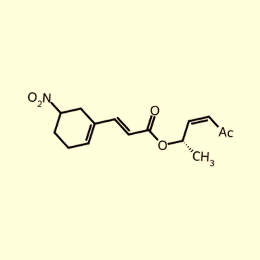 CC(=O)/C=C\[C@H](C)OC(=O)/C=C/C1=CCCC([N+](=O)[O-])C1